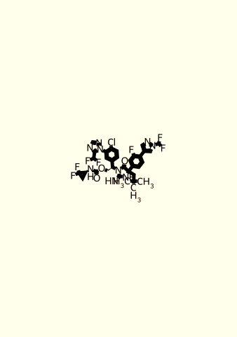 CC(C)(C)CC1(c2ccc(-c3cnn(C(F)F)c3)c(F)c2)NC(=N)N([C@H](COC(=O)N[C@H]2CC2(F)F)c2ccc(Cl)c(-n3ncnc3C(F)F)c2)C1=O